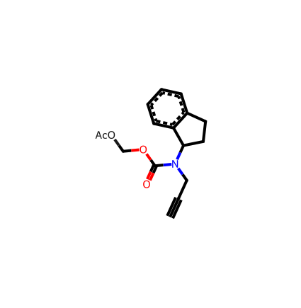 C#CCN(C(=O)OCOC(C)=O)C1CCc2ccccc21